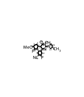 COc1ccc(-c2c(-c3ccc(C#N)c(F)c3)nc(N3CC[C@@H](C)C3)n(C)c2=O)cc1F